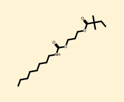 CCCCCCCCNC(=O)OCCCOC(=O)C(C)(C)CC